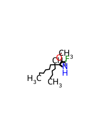 CCCCCCC(C)(CCCCC)c1c[nH]c(F)c1OC